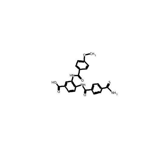 COc1ccc(C(=O)Nc2cc(C(=O)O)ccc2NC(=O)c2ccc(C(N)=S)cc2)cc1